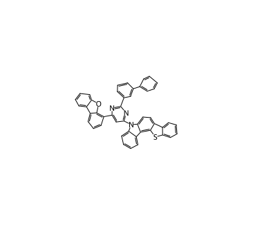 c1ccc(-c2cccc(-c3nc(-c4cccc5c4oc4ccccc45)cc(-n4c5ccccc5c5c6sc7ccccc7c6ccc54)n3)c2)cc1